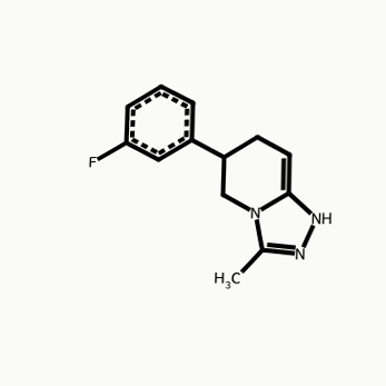 CC1=NNC2=CCC(c3cccc(F)c3)CN21